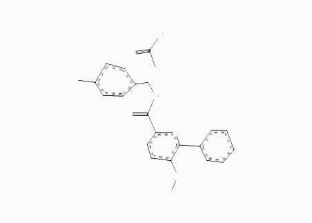 COc1ccc(C(=O)N[C@@H](CC(=O)O)c2ccc(C)cc2)nc1-c1ccccc1